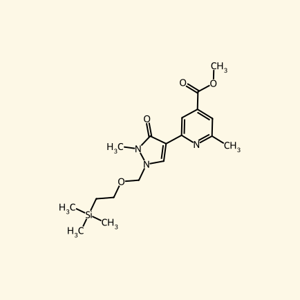 COC(=O)c1cc(C)nc(-c2cn(COCC[Si](C)(C)C)n(C)c2=O)c1